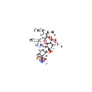 COc1cc(C(=O)O)c2c(c1C)OC(=O)c1c(C)cc(O)c(C(N)c3ccc(S(N)(=O)=O)cc3)c1O2